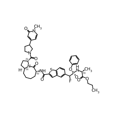 CCCOC(=O)[C@H](C)NP(=O)(Oc1ccccc1)C(F)c1ccc2sc(C(=O)N[C@H]3CCCC[C@H]4CC[C@@H](C(=O)N5CCC(c6ccn(C)c(=O)c6)C5)N4C3=O)cc2c1